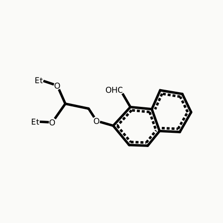 CCOC(COc1ccc2ccccc2c1C=O)OCC